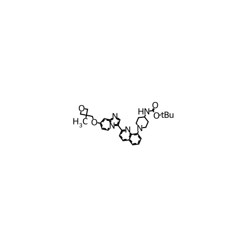 CC1(COc2ccn3c(-c4ccc5cccc(N6CCC(NC(=O)OC(C)(C)C)CC6)c5n4)cnc3c2)COC1